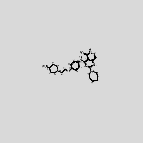 O=c1[nH]ncc2nc(N3CCCCCC3)nc(Nc3ccc(OCCN4CCC(O)CC4)cc3)c12